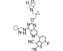 C=Nc1sc2c(F)ccc(-c3cc4nc(OCC5(CN6C[C@H]7OCC76)CC5)nc(NCC5(N(C)C)CCC5)c4cn3)c2c1C#N